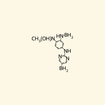 BNc1cc(Nc2ncc(B)cn2)ccc1N(C)O